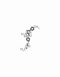 CCOC(=O)CSc1ccc(NC(=O)c2nc(-c3ccc(C)cc3)cnc2N)cc1